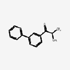 CC(C(=O)c1cccc(-c2ccccc2)c1)C(F)(F)F